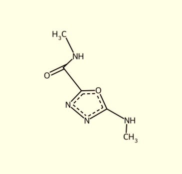 CNC(=O)c1nnc(NC)o1